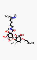 CCCCCCCCCCCCO[C@@H]1C[C@H](C(=O)O)[C@@H](O[C@@H]2C[C@H](C(=O)NCCCC[C@H](NCC)C(=O)O)[C@@H](O)[C@H](O)[C@H]2O)[C@H](O)[C@H]1O